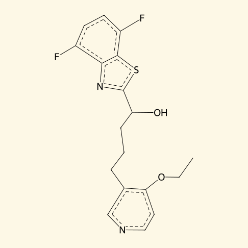 CCOc1ccncc1CCCC(O)c1nc2c(F)ccc(F)c2s1